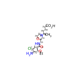 CCOc1cc(N)c(Cl)cc1C(=O)NCC1CN(C(C)CCCC(=O)O)CCO1